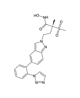 C[C@@](CCn1cc2cc(-c3ccccc3-n3ccnn3)ccc2n1)(C(=O)NO)S(C)(=O)=O